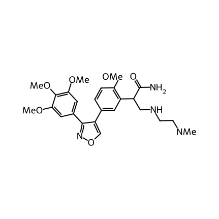 CNCCNCC(C(N)=O)c1cc(-c2conc2-c2cc(OC)c(OC)c(OC)c2)ccc1OC